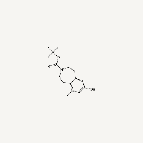 Cc1cc(O)cc2c1CCN(C(=O)OC(C)(C)C)CC2